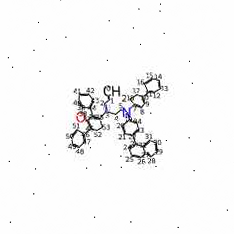 C=C/C=C(\CCN(C1=CC=C(c2ccccc2)CC1)c1ccc(-c2cccc3ccccc23)cc1)C1=c2c(oc3ccccc23)=C(c2ccccc2)CC1